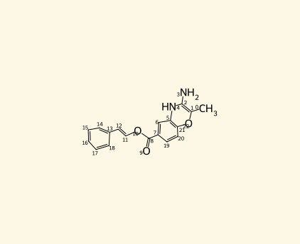 CC1=C(N)Nc2cc(C(=O)OC=Cc3ccccc3)ccc2O1